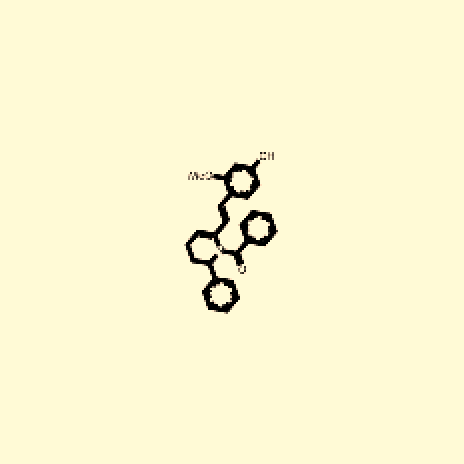 COc1cc(O)ccc1C=CC1=CCCC(c2ccccc2)N1C(=O)c1ccccc1